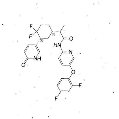 CC(C(=O)Nc1ccc(Oc2ccc(F)cc2F)cn1)[C@H]1CCC(F)(F)[C@@H](c2ccc(=O)[nH]c2)C1